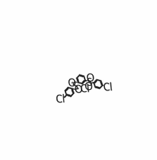 O=S(=O)(c1ccc(Cl)cc1)c1cccc(S(=O)(=O)c2ccc(Cl)cc2)c1Cl